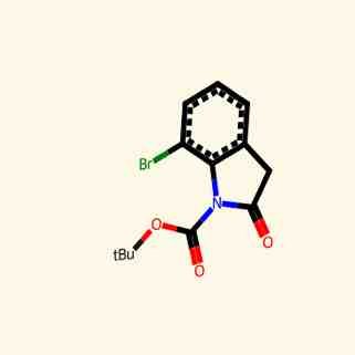 CC(C)(C)OC(=O)N1C(=O)Cc2cccc(Br)c21